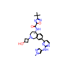 Cn1cc(Nc2nccc(-c3ccc4c(c3)CN(C3CC(O)C3)CC[C@H]4NC(=O)c3nc(C(C)(C)C)no3)n2)cn1